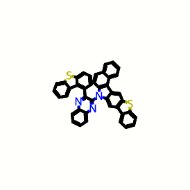 c1ccc2c(c1)ccc1c2c2cc3sc4ccccc4c3cc2n1-c1nc2ccccc2nc1-c1cccc2sc3ccccc3c12